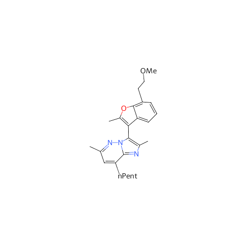 CCCCCc1cc(C)nn2c(-c3c(C)oc4c(CCOC)cccc34)c(C)nc12